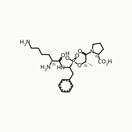 C[C@H](OP(=O)(O)C(Cc1ccccc1)NC(=O)[C@@H](N)CCCCN)C(=O)N1CCC[C@H]1C(=O)O